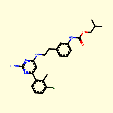 Cc1c(Cl)cccc1-c1cc(NCCc2cccc(NC(=O)OCC(C)C)c2)nc(N)n1